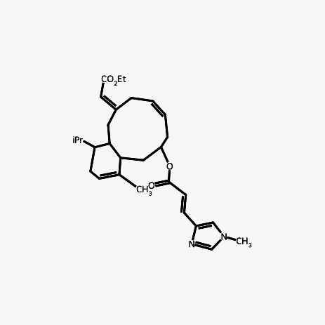 CCOC(=O)C=C1CC=CCC(OC(=O)C=Cc2cn(C)cn2)CC2C(C)=CCC(C(C)C)C2C1